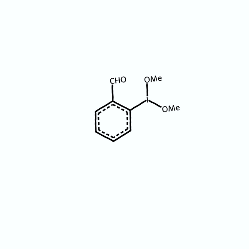 COI(OC)c1ccccc1C=O